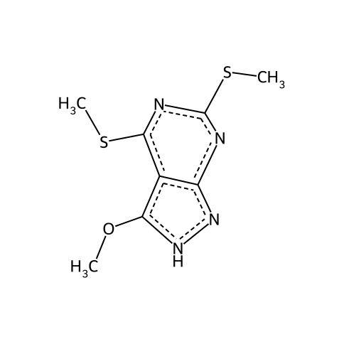 COc1[nH]nc2nc(SC)nc(SC)c12